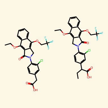 CCOc1c2c(c(OCC(F)(F)F)c3ccccc13)C(=O)N(c1ccc(C(CC)C(=O)O)cc1Cl)C2.CCOc1c2c(c(OCC(F)(F)F)c3ccccc13)CN(c1ccc(CC(=O)O)cc1Cl)C2=O